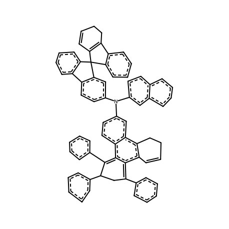 C1=CC2=C(CC1)c1ccccc1C21c2ccccc2-c2ccc(N(c3ccc4ccccc4c3)c3ccc4c5c(c6c(c4c3)CCC=C6)=C(c3ccccc3)CC(c3ccccc3)C=5c3ccccc3)cc21